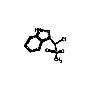 CCC(c1c[nH]c2ccccc12)S(C)(=O)=O